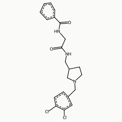 O=C(CNC(=O)c1ccccc1)NCC1CCN(Cc2ccc(Cl)c(Cl)c2)C1